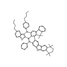 CCCCc1ccc(N2c3cc4c(c5c3B(c3oc6ccc(CCCC)cc6c32)N(c2ccccc2)c2cc3oc6cc7c(cc6c3cc2-5)C(C)(C)CCC7(C)C)C(C)(C)c2ccccc2-4)cc1